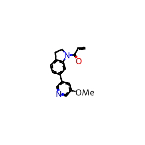 C=CC(=O)N1CCc2ccc(-c3cncc(OC)c3)cc21